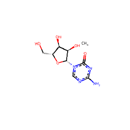 C.Nc1ncn([C@@H]2O[C@H](CO)[C@@H](O)[C@H]2O)c(=O)n1